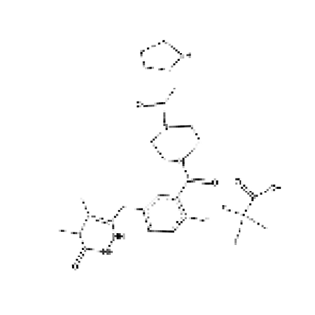 CC1=C(Cc2ccc(F)c(C(=O)N3CCN(C(=O)C[C@@H]4CCCN4)CC3)c2)NNC(=O)C1C.O=C(O)C(F)(F)F